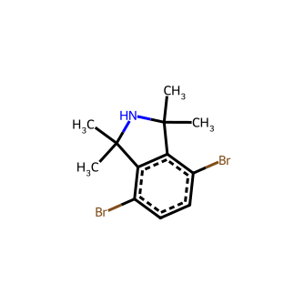 CC1(C)NC(C)(C)c2c(Br)ccc(Br)c21